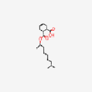 CC(C)CCCCCC(C)OC(=O)C1CC=CCC1C(=O)O